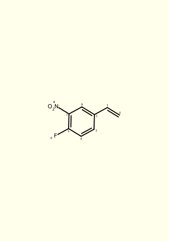 C=Cc1ccc(F)c([N+](=O)[O-])c1